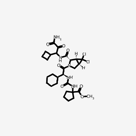 COC(=O)C1(NC(=O)N[C@H](C(=O)N2C[C@H]3[C@@H]([C@H]2C(=O)NC(C(=O)C(N)=O)C2CCC2)C3(Cl)Cl)C2CCCCC2)CCCC1